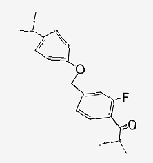 CC(C)C(=O)c1ccc(COc2ccc(C(C)C)cc2)cc1F